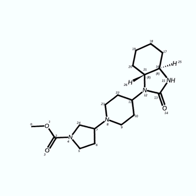 COC(=O)N1CCC(N2CCC(N3C(=O)N[C@@H]4CCCC[C@H]43)CC2)C1